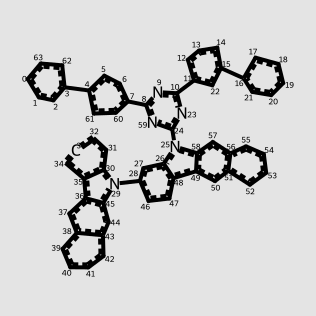 c1ccc(-c2ccc(-c3nc(-c4cccc(-c5ccccc5)c4)nc(-n4c5cc(-n6c7ccccc7c7cc8ccccc8cc76)ccc5c5cc6ccccc6cc54)n3)cc2)cc1